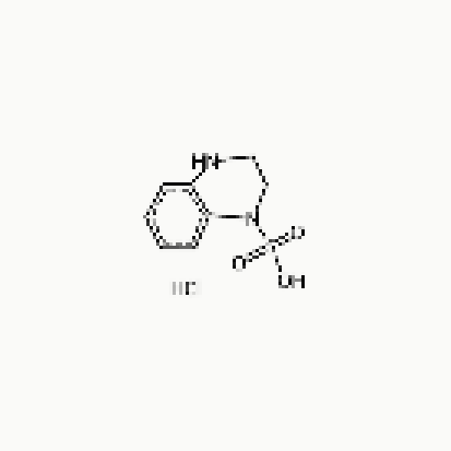 Cl.O=S(=O)(O)N1CCNc2ccccc21